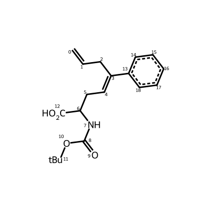 C=CCC(=CCC(NC(=O)OC(C)(C)C)C(=O)O)c1ccccc1